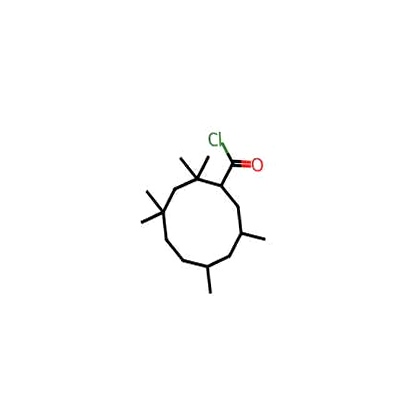 CC1CCC(C)(C)CC(C)(C)C(C(=O)Cl)CC(C)C1